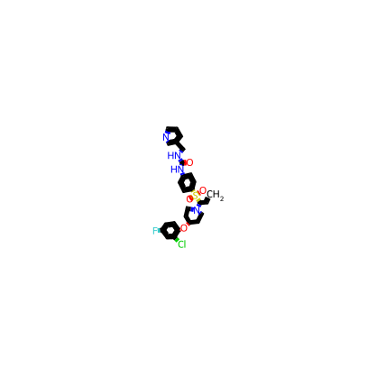 C=CC(N1CCC(Oc2ccc(F)cc2Cl)CC1)S(=O)(=O)c1ccc(NC(=O)NCc2cccnc2)cc1